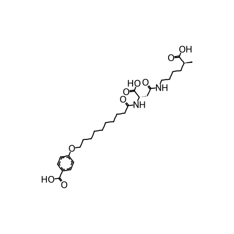 C[C@@H](CCCCNC(=O)C[C@H](NC(=O)CCCCCCCCCOc1ccc(C(=O)O)cc1)C(=O)O)C(=O)O